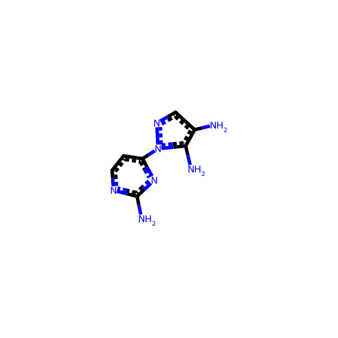 Nc1nccc(-n2ncc(N)c2N)n1